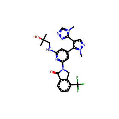 Cn1cnnc1-c1cnn(C)c1-c1cc(NCC(C)(C)O)nc(N2Cc3c(cccc3C(F)(F)F)C2=O)c1